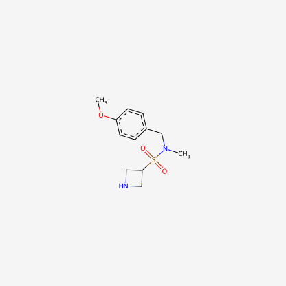 COc1ccc(CN(C)S(=O)(=O)C2CNC2)cc1